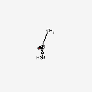 CCCCCC=CCC=CCCCCCCCC(=O)Oc1ccc(-c2ccc(C=CC(=O)O)cc2)cc1C12CC3CC(CC(C3)C1)C2